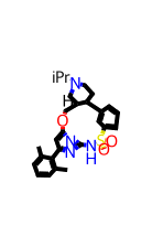 Cc1cccc(C)c1-c1cc2nc(n1)NS(=O)(=O)c1cccc(c1)C1CCN(C(C)C)C[C@@H]1CO2